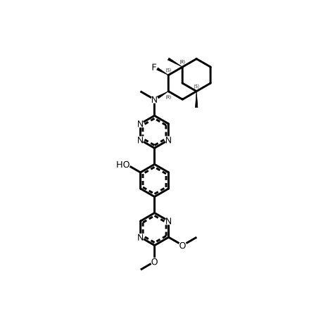 COc1ncc(-c2ccc(-c3ncc(N(C)[C@@H]4C[C@@]5(C)CCC[C@](C)(C5)[C@@H]4F)nn3)c(O)c2)nc1OC